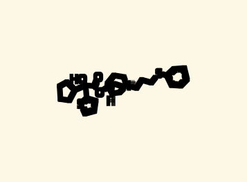 O=C(O[C@H]1C[N+]2(CCCSc3ccccc3)CCC1CC2)[C@](O)(c1cccs1)C1CCCC1